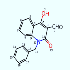 O=Cc1c(O)c2ccccc2n(Cc2ccccc2)c1=O